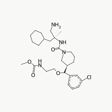 COC(=O)NCCOC(c1cccc(Cl)c1)[C@@H]1CCCN(C(=O)N[C@](C)(CN)CC2CCCCC2)C1